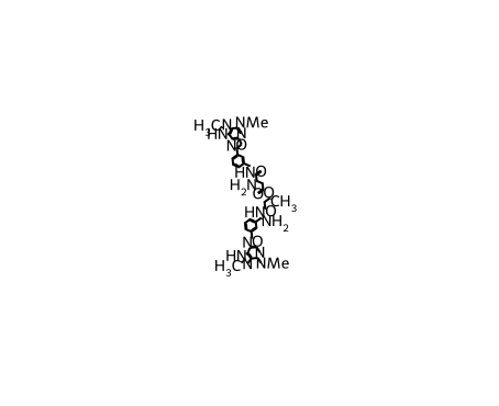 CNc1nc2oc(-c3cccc(CNC(=O)[C@H](N)CC(=O)O[C@H](C)CC(=O)N[C@H](N)c4cccc(-c5nc6c(nc(NC)c7nc(C)[nH]c76)o5)c4)c3)nc2c2[nH]c(C)nc12